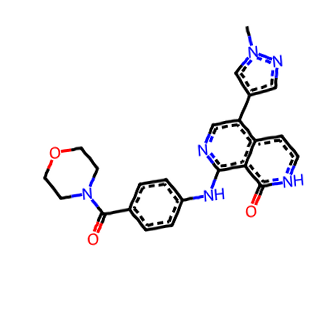 Cn1cc(-c2cnc(Nc3ccc(C(=O)N4CCOCC4)cc3)c3c(=O)[nH]ccc23)cn1